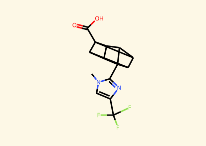 Cn1cc(C(F)(F)F)nc1C12C3C4C1C1C2C3C41C(=O)O